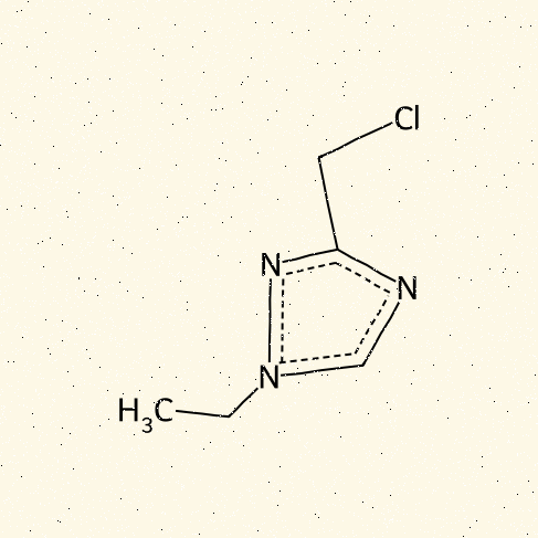 CCn1cnc(CCl)n1